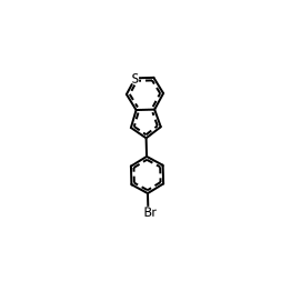 Brc1ccc(-c2cc3ccscc-3c2)cc1